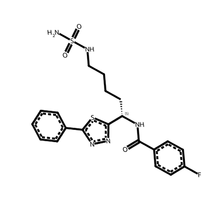 NS(=O)(=O)NCCCC[C@H](NC(=O)c1ccc(F)cc1)c1nnc(-c2ccccc2)s1